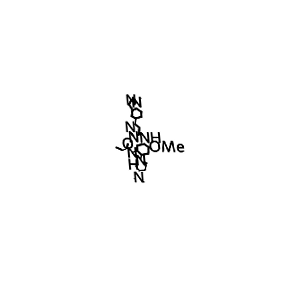 C=CC(=O)Nc1cc(Nc2cc(-c3ccc4c(cnn4C)c3)ncn2)c(OC)cc1N1CCC(N(C)C)CC1